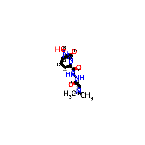 CN(C)CC(=O)NNC(=O)[C@@H]1CCC2CN1C(=O)N2O